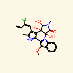 C=C/C(Cl)=C\c1c(C)[nH]c2c1C1(O)C(O)N(C)C(=O)C1(O)n1c-2c(OC)c2ccccc21